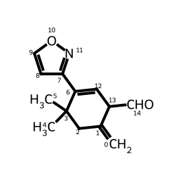 C=C1CC(C)(C)C(c2ccon2)=CC1C=O